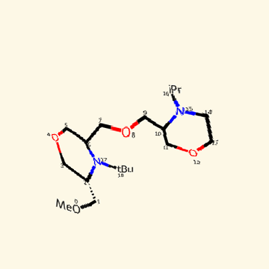 COC[C@@H]1COCC(COCC2COCCN2C(C)C)N1C(C)(C)C